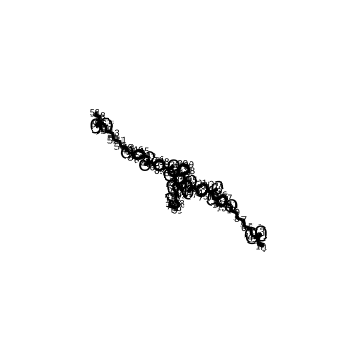 C=CC(=O)OCCCCCCOc1ccc(OC(=O)C2CCC(C(=O)Oc3c4ccccc4c(OC(=O)C4CCC(C(=O)Oc5ccc(OCCCCCCOC(=O)C=C)cc5)CC4)c4oc(-c5cccs5)nc34)CC2)cc1